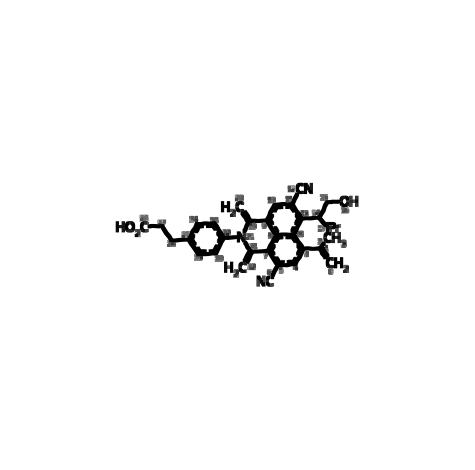 C=C(C)c1cc(C#N)c2c3c(cc(C#N)c(C(CO)C(C)C)c13)C(=C)N(c1ccc(CCC(=O)O)cc1)C2=C